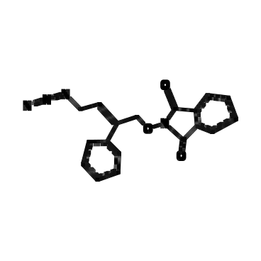 [N-]=[N+]=NCC=C(CON1C(=O)c2ccccc2C1=O)c1ccccc1